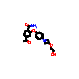 CC(=O)c1ccc(C(N)=O)c(Oc2ccc(N3CC(OCCO)C3)cc2)c1